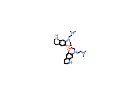 CN(C)CCN1CCOc2cc3c(cc21)NCCC3.CN(C)CCN1CCOc2cc3cccnc3cc21